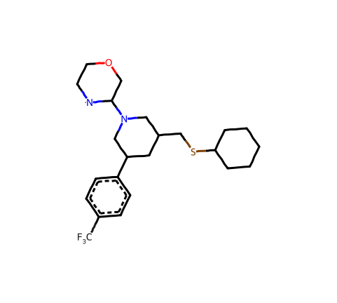 FC(F)(F)c1ccc(C2CC(CSC3CCCCC3)CN(C3COCC[N]3)C2)cc1